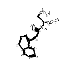 O=C(O)C[C@H](NC(=O)Cc1cccc2ccccc12)C(=O)O